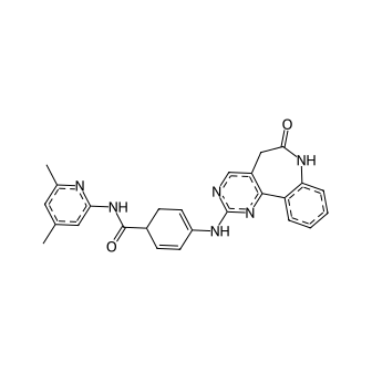 Cc1cc(C)nc(NC(=O)C2C=CC(Nc3ncc4c(n3)-c3ccccc3NC(=O)C4)=CC2)c1